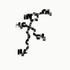 CCCCCC(C)(CCC)c1cc(C)c[nH]1